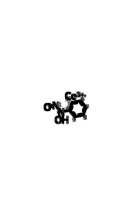 O=NN(O)c1ccccc1.[Ce+3]